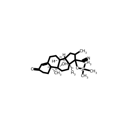 CC1C[C@H]2[C@@H]3CCC4=CC(=O)CC[C@]4(C)[C@]3(O)CC[C@]2(C)C1(C#N)O[Si](C)(C)C